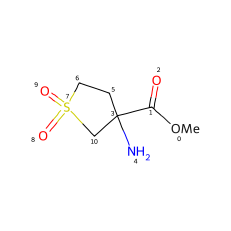 COC(=O)C1(N)CCS(=O)(=O)C1